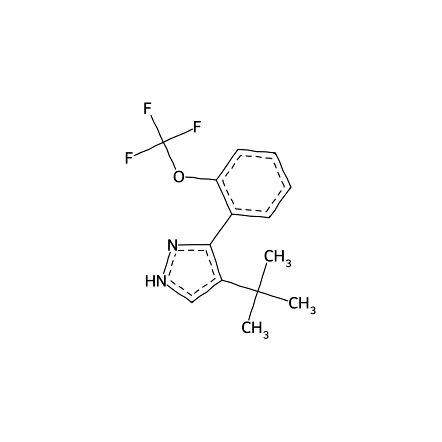 CC(C)(C)c1c[nH]nc1-c1ccccc1OC(F)(F)F